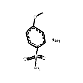 COc1ccc(S(N)(=O)=O)cc1.[NaH]